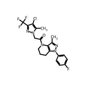 Cc1nn(-c2ccc(F)cc2)c2c1N(C(=O)Cn1nc(C(F)(F)F)c(Cl)c1C)CCC2